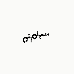 NCCC(=O)NC1CCC(NC(=O)c2cccnc2)CC1